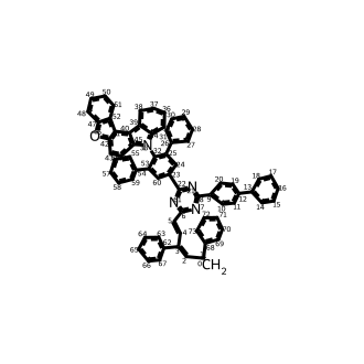 C=C(/C=C(\C=C\c1nc(-c2ccc(-c3ccccc3)cc2)nc(-c2cc(-c3ccccc3)c(-n3c4ccccc4c4c5c(ccc43)oc3ccccc35)c(-c3ccccc3)c2)n1)c1ccccc1)c1ccccc1